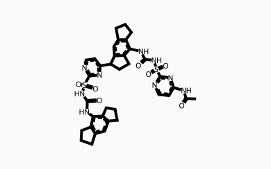 CC(=O)Nc1ccnc(S(=O)(=O)NC(=O)Nc2c3c(cc4c2CCC4c2ccnc(S(=O)(=O)NC(=O)Nc4c5c(cc6c4CCC6)CCC5)n2)CCC3)n1